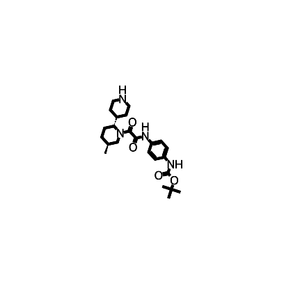 C[C@H]1CC[C@H](C2CCNCC2)N(C(=O)C(=O)Nc2ccc(NC(=O)OC(C)(C)C)cc2)C1